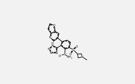 CN1CC(S(=O)(=O)c2ccc(-c3cnc4ccoc4c3)c(-c3nnn[nH]3)c2[S+](N)[O-])C1